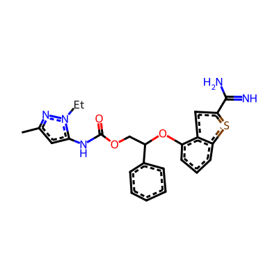 CCn1nc(C)cc1NC(=O)OCC(Oc1cccc2sc(C(=N)N)cc12)c1ccccc1